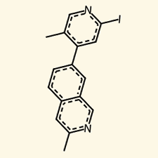 Cc1cc2ccc(-c3cc(I)ncc3C)cc2cn1